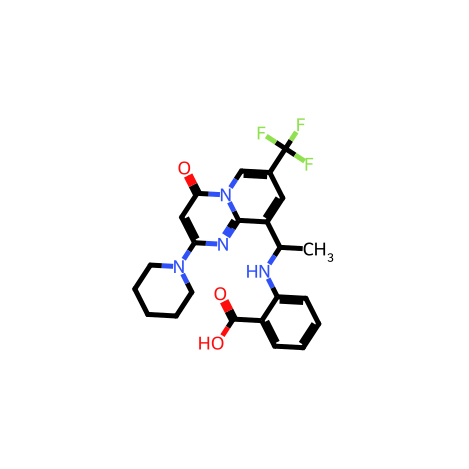 CC(Nc1ccccc1C(=O)O)c1cc(C(F)(F)F)cn2c(=O)cc(N3CCCCC3)nc12